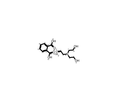 C=CCN(CCO)CCO.O=C(O)c1ccccc1C(=O)O